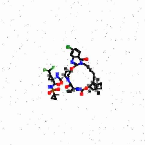 CC(C)(C)[C@@H]1NC(=O)O[C@@H]2C[C@@H]3CC[C@@H]3[C@H]2CCCCCn2c(nc3cc(Cl)ccc3c2=O)O[C@@H]2C[C@@H](C(=O)N[C@]3(C(=O)NS(=O)(=O)C4(C)CC4)C[C@H]3C(F)F)N(C2)C1=O